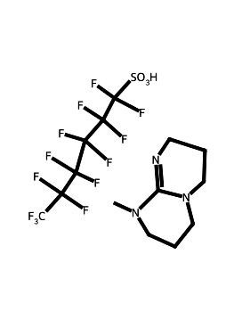 CN1CCCN2CCCN=C12.O=S(=O)(O)C(F)(F)C(F)(F)C(F)(F)C(F)(F)C(F)(F)C(F)(F)F